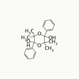 CC1(C)OC(O)(c2ccccc2)C(C)(C)OC1(O)c1ccccc1